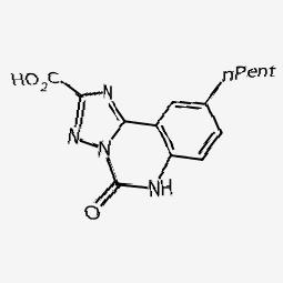 CCCCCc1ccc2[nH]c(=O)n3nc(C(=O)O)nc3c2c1